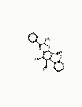 CC(Sc1nc(N)c(C#N)c(-c2ccccc2Cl)c1C#N)C(=O)c1ccccc1